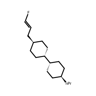 CCC[C@H]1CC[C@H]([C@H]2CC[C@H](CC=CF)CC2)CC1